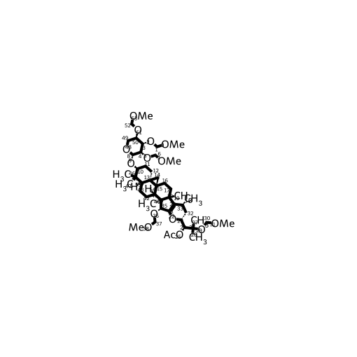 COCO[C@@H]1[C@@H](OCOC)[C@H](O[C@H]2CC[C@]34C[C@]35CC[C@]3(C)C6=C(O[C@@H]([C@H](OC(C)=O)C(C)(C)OCOC)C[C@H]6C)[C@H](OCOC)[C@@]3(C)[C@@H]5CC[C@H]4C2(C)C)OC[C@H]1OCOC